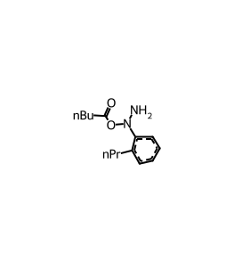 CCCCC(=O)ON(N)c1ccccc1CCC